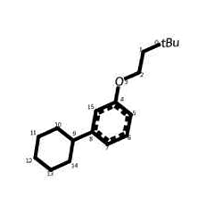 CC(C)(C)CCOc1cccc(C2CCCCC2)c1